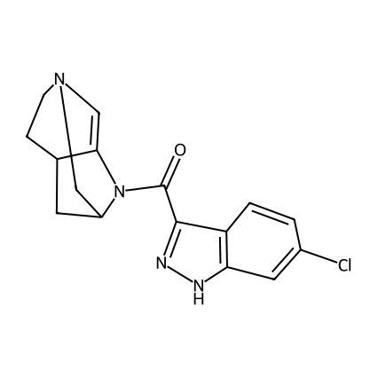 O=C(c1n[nH]c2cc(Cl)ccc12)N1C2=CN3CCC2CC1C3